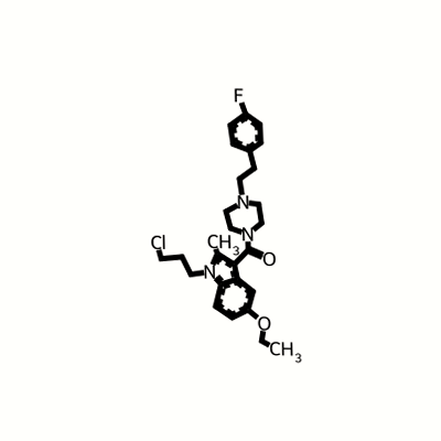 CCOc1ccc2c(c1)c(C(=O)N1CCN(CCc3ccc(F)cc3)CC1)c(C)n2CCCCl